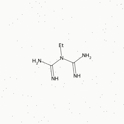 [CH2]CN(C(=N)N)C(=N)N